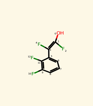 OC(F)=C(F)c1cccc(F)c1F